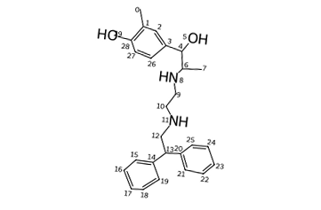 Cc1cc(C(O)C(C)NCCNCC(c2ccccc2)c2ccccc2)ccc1O